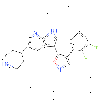 FC1=C(F)C(c2cnoc2-c2c[nH]c3ncc(C4CCNCC4)cc23)CC=C1